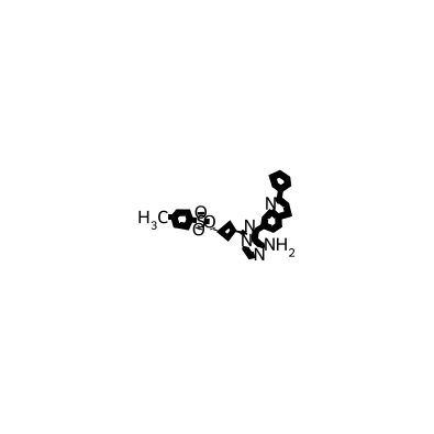 Cc1ccc(S(=O)(=O)OC[C@H]2C[C@H](c3nc(-c4ccc5ccc(-c6ccccc6)nc5c4)c4c(N)nccn43)C2)cc1